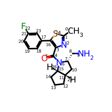 Cc1nc(C(=O)N2[C@H](CN)C[C@@H]3CCC[C@@H]32)c(-c2cccc(F)c2)s1